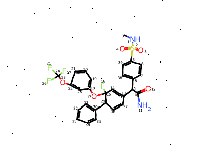 CNS(=O)(=O)c1ccc(C(C(N)=O)C2=CC(F)(Oc3cccc(OC(F)(F)F)c3)C(c3ccccc3)C=C2)cc1